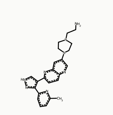 Cc1cccc(-c2n[nH]cc2-c2ccc3ncc(N4CCN(CCN)CC4)cc3n2)n1